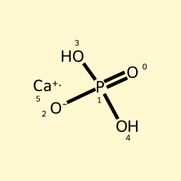 O=P([O-])(O)O.[Ca+]